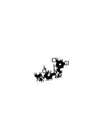 COc1nc(C2=NOCC(c3cc(Cl)cc(Cl)c3)N2)ccc1-n1cnc(C)c1